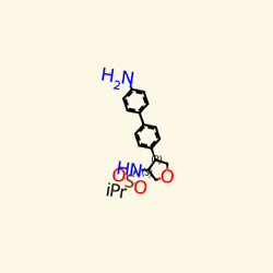 CC(C)S(=O)(=O)N[C@@H]1COC[C@@H]1c1ccc(-c2ccc(N)cc2)cc1